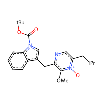 COc1c(Cc2cn(C(=O)OC(C)(C)C)c3ccccc23)ncc(CC(C)C)[n+]1[O-]